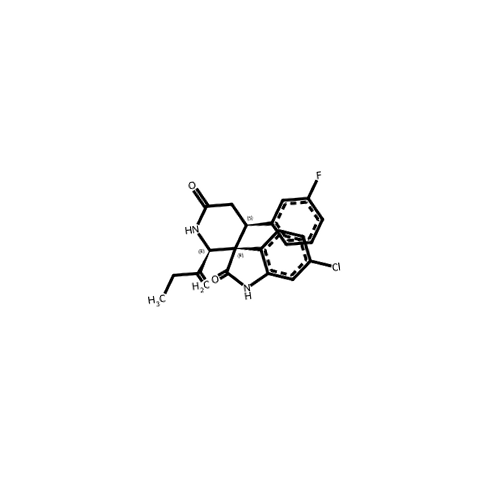 C=C(CC)[C@H]1NC(=O)C[C@@H](c2cccc(F)c2)[C@]12C(=O)Nc1cc(Cl)ccc12